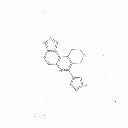 c1n[nH]cc1-c1nc2ccc3[nH]ncc3c2c2c1COCC2